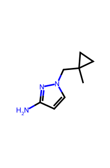 CC1(Cn2ccc(N)n2)CC1